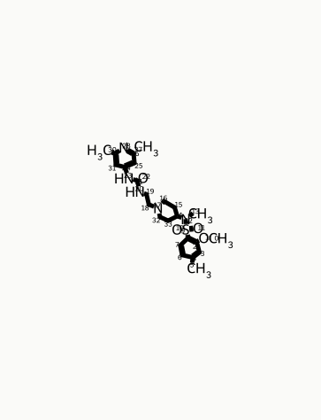 COc1cc(C)ccc1S(=O)(=O)N(C)C1CCN(CCNC(=O)Nc2cc(C)nc(C)c2)CC1